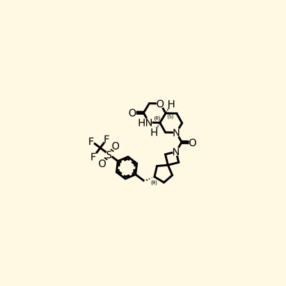 O=C1CO[C@H]2CCN(C(=O)N3CC4(CC[C@H](Cc5ccc(S(=O)(=O)C(F)(F)F)cc5)C4)C3)C[C@H]2N1